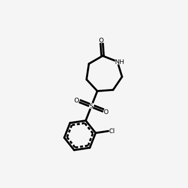 O=C1CCC(S(=O)(=O)c2ccccc2Cl)CCN1